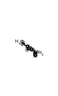 COC(=O)C=Cc1ccc2c(c1)C(=O)CC1(CCN(Cc3cc4ccccc4n3C)CC1)O2